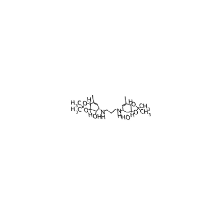 CC1(C)O[C@H]2[C@H](O)[C@@H](NCCCN[C@H]3C=C(I)[C@H]4OC(C)(C)O[C@H]4[C@@H]3O)C=C(I)[C@H]2O1